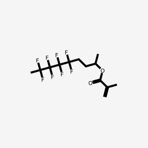 C=C(C)C(=O)OC(C)CCC(F)(F)C(F)(F)C(F)(F)C(C)(F)F